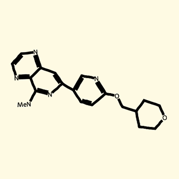 CNc1nc(-c2ccc(OCC3CCOCC3)nc2)cc2nccnc12